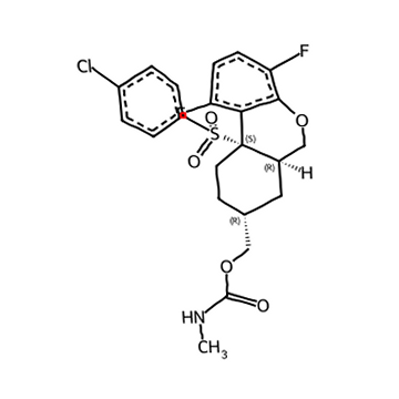 CNC(=O)OC[C@@H]1CC[C@@]2(S(=O)(=O)c3ccc(Cl)cc3)c3c(F)ccc(F)c3OC[C@H]2C1